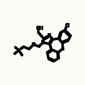 C[Si](C)(C)CCOCn1c(CO)nc2c1-c1ccccc1Sc1ccc(Cl)cc1-2